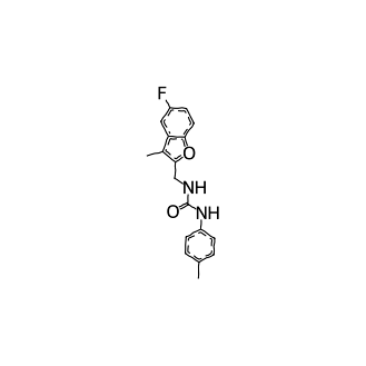 Cc1ccc(NC(=O)NCc2oc3ccc(F)cc3c2C)cc1